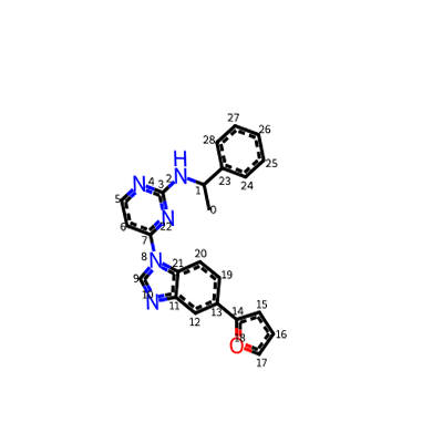 CC(Nc1nccc(-n2cnc3cc(-c4ccco4)ccc32)n1)c1ccccc1